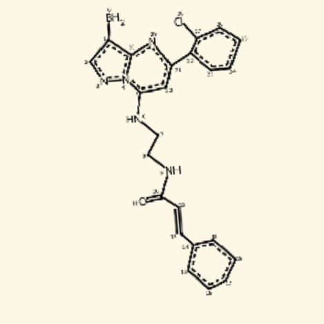 Bc1cnn2c(NCCNC(=O)/C=C/c3ccccc3)cc(-c3ccccc3Cl)nc12